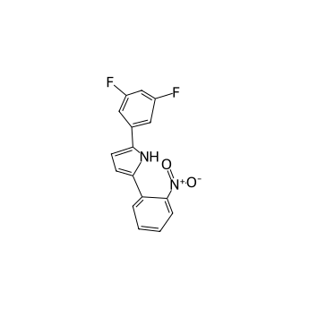 O=[N+]([O-])c1ccccc1-c1ccc(-c2cc(F)cc(F)c2)[nH]1